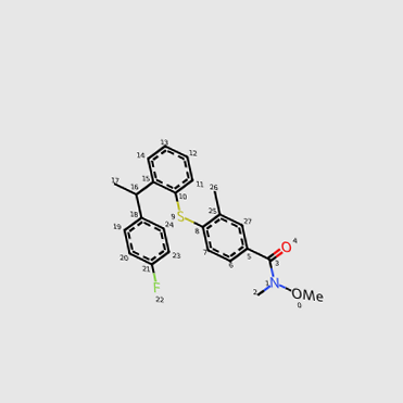 CON(C)C(=O)c1ccc(Sc2ccccc2C(C)c2ccc(F)cc2)c(C)c1